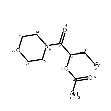 CC(C)C[C@@H](OC(N)=O)C(=O)N1CCOCC1